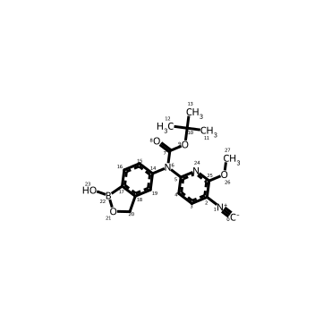 [C-]#[N+]c1ccc(N(C(=O)OC(C)(C)C)c2ccc3c(c2)COB3O)nc1OC